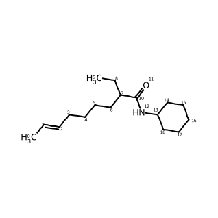 CC=CCCCCC(CC)C(=O)NC1CCCCC1